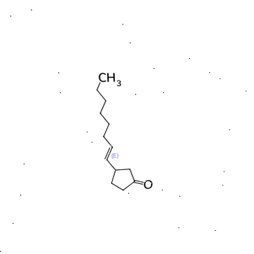 CCCCCC/C=C/C1CCC(=O)C1